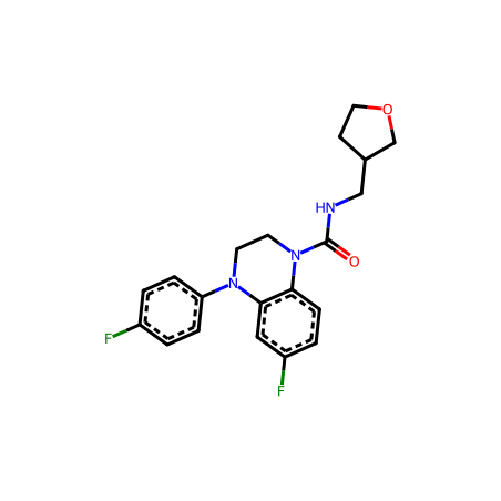 O=C(NCC1CCOC1)N1CCN(c2ccc(F)cc2)c2cc(F)ccc21